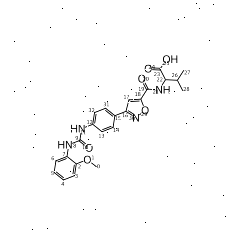 COc1ccccc1NC(=O)Nc1ccc(-c2cc(C(=O)NC(C(=O)O)C(C)C)on2)cc1